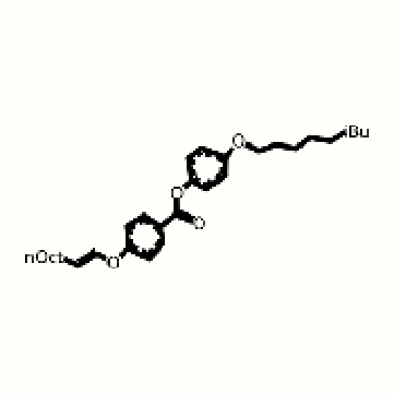 CCCCCCCCC=COc1ccc(C(=O)Oc2ccc(OCCCCCC(C)CC)cc2)cc1